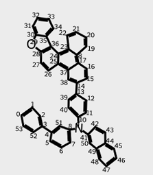 c1ccc(-c2cccc(N(c3ccc(-c4ccc5c6ccccc6c6c(ccc7oc8ccccc8c76)c5c4)cc3)c3ccc4ccccc4c3)c2)cc1